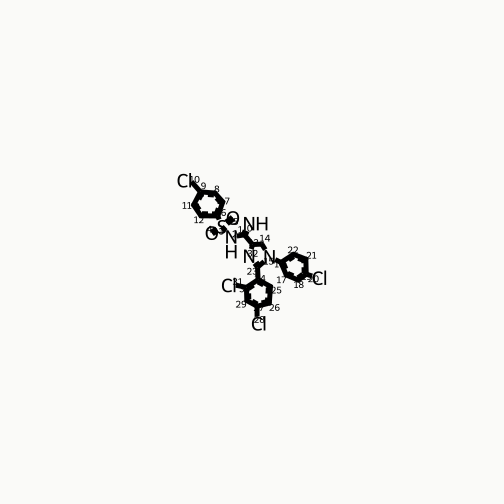 N=C(NS(=O)(=O)c1ccc(Cl)cc1)C1CN(c2ccc(Cl)cc2)C(c2ccc(Cl)cc2Cl)=N1